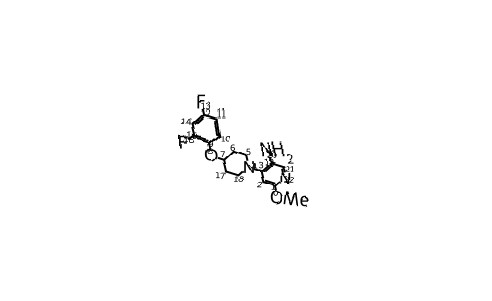 COc1cc(N2CCC(Oc3ccc(F)cc3F)CC2)c(N)cn1